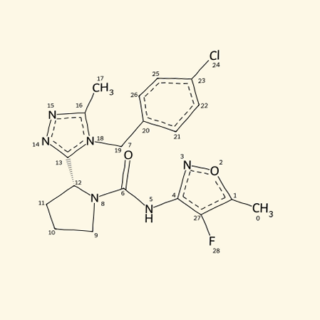 Cc1onc(NC(=O)N2CCC[C@@H]2c2nnc(C)n2Cc2ccc(Cl)cc2)c1F